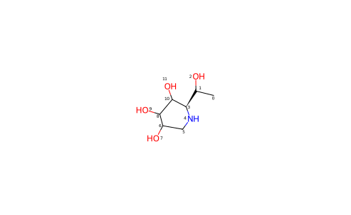 CC(O)[C@H]1NCC(O)C(O)C1O